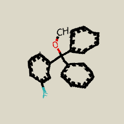 COC(c1[c]ccc(F)c1)(c1ccccc1)c1ccccc1